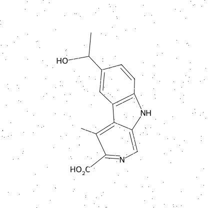 Cc1c(C(=O)O)ncc2[nH]c3ccc(C(C)O)cc3c12